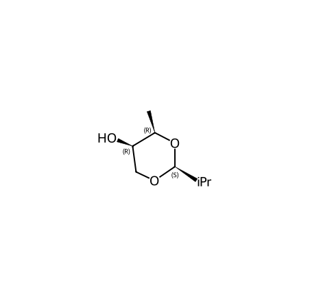 CC(C)[C@H]1OC[C@@H](O)[C@@H](C)O1